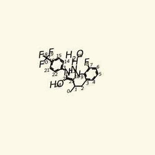 CC1Cc2cccc(F)c2N2NN(c3ccc(C(F)(F)F)cc3)C(O)=C12.O